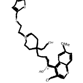 COc1ccc2ncc(Cl)c([C@H](O)CCC3(CO)CCN(CCSc4cccs4)CC3)c2c1